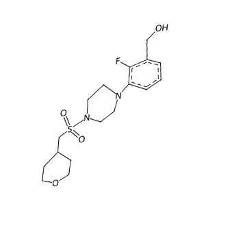 O=S(=O)(CC1CCOCC1)N1CCN(c2cccc(CO)c2F)CC1